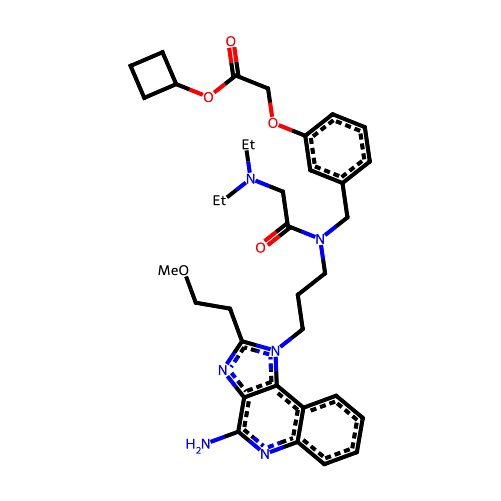 CCN(CC)CC(=O)N(CCCn1c(CCOC)nc2c(N)nc3ccccc3c21)Cc1cccc(OCC(=O)OC2CCC2)c1